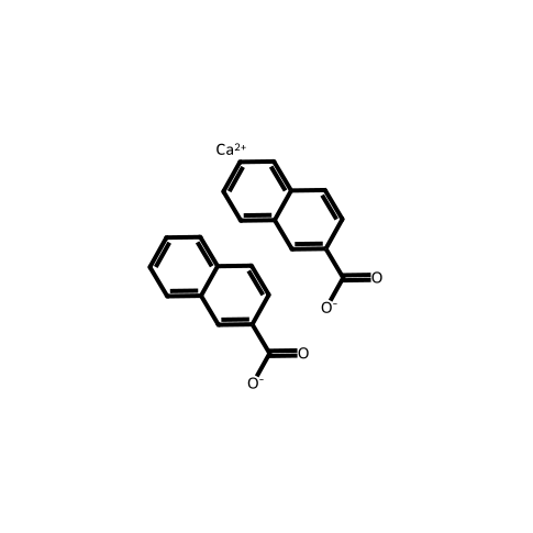 O=C([O-])c1ccc2ccccc2c1.O=C([O-])c1ccc2ccccc2c1.[Ca+2]